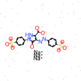 O=C([O-])c1[nH]n(-c2ccc(S(=O)(=O)[O-])cc2)c(=O)c1/N=N/c1ccc(S(=O)(=O)[O-])cc1.[Na+].[Na+].[Na+]